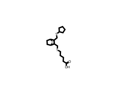 O=C(O)CCCCSCC1C2CCC(O2)C1CSC1CCCC1